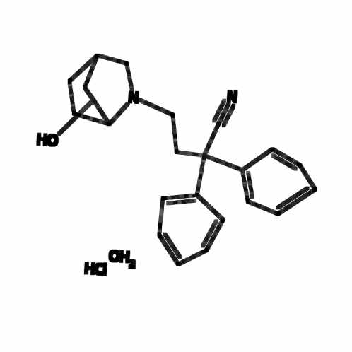 Cl.N#CC(CCN1CC2CCC1C(O)C2)(c1ccccc1)c1ccccc1.O